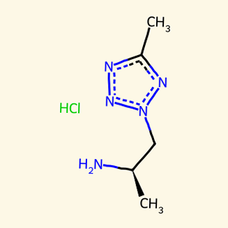 Cc1nnn(C[C@@H](C)N)n1.Cl